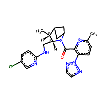 Cc1ccc(-n2nccn2)c(C(=O)N2C3CC(C3)[C@@H](C)[C@H]2CNc2ccc(Cl)cn2)n1